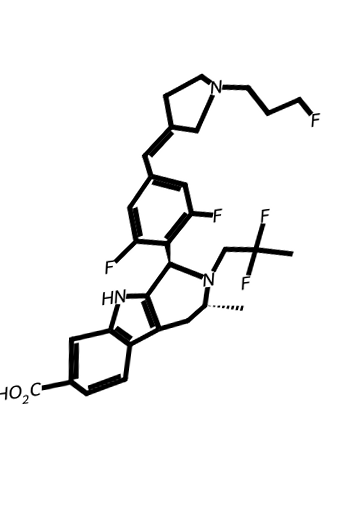 C[C@@H]1Cc2c([nH]c3cc(C(=O)O)ccc23)[C@@H](c2c(F)cc(/C=C3/CCN(CCCF)C3)cc2F)N1CC(C)(F)F